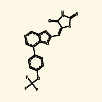 O=C1NC(=S)S/C1=C/c1cc2cncc(-c3ccc(OC(F)(F)F)cc3)c2o1